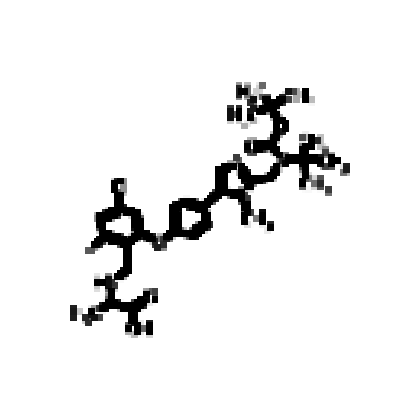 CC(NCc1c(F)cc(Cl)cc1Oc1ccc(-c2cnc(CN(C(=O)OC(C)(C)C)C(C)(C)C)n2C)cc1)C(=O)O